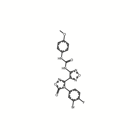 COc1ccc(NC(=O)Nc2nonc2-c2noc(=O)n2-c2ccc(F)c(Br)c2)cc1